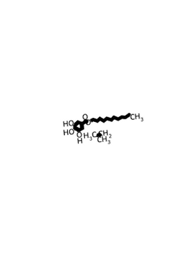 C=C(C)C.CCCCCCCCCCCCOC(=O)c1cc(O)c(O)c(O)c1